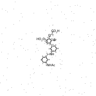 CC(=O)Nc1cccc(CNc2cccc(-c3sc(C(=O)O)c(OCC(=O)O)c3Br)c2)c1